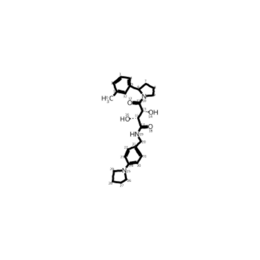 Cc1cccc(C2CCCN2C(=O)[C@H](O)[C@@H](O)C(=O)NCc2ccc(N3CCCC3)cc2)c1